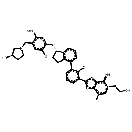 COc1nc(O[C@H]2CCc3c(-c4cccc(-c5nc6c(=N)n(CCO)cc(Cl)c6o5)c4Cl)cccc32)c(Cl)cc1CN1CC[C@@H](O)C1